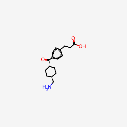 NC[C@H]1CC[C@H](C(=O)c2ccc(CCC(=O)O)cc2)CC1